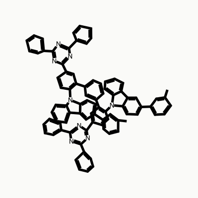 Cc1cccc(-c2ccc3c(c2)c2ccccc2n3-c2ccc(-c3nc(-c4ccccc4)nc(-c4ccccc4)n3)cc2-c2cccc(-c3cc(-c4nc(-c5ccccc5)nc(-c5ccccc5)n4)ccc3-n3c4ccccc4c4cc(-c5cccc(C)c5)ccc43)c2)c1